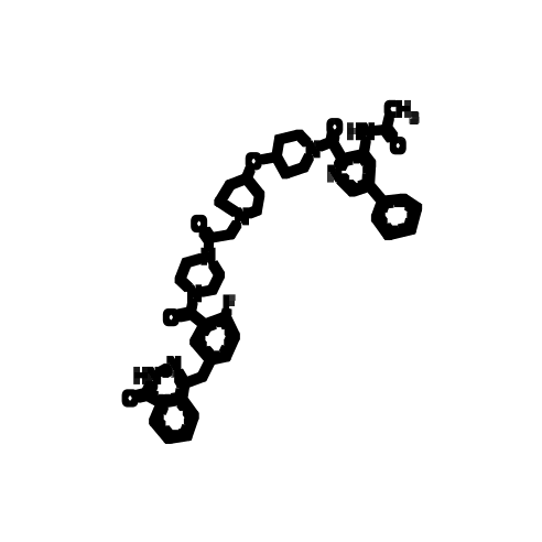 CC(=O)Nc1cc(-c2ccccc2)cnc1C(=O)N1CCC(OC2CCN(CC(=O)N3CCN(C(=O)c4cc(Cc5n[nH]c(=O)c6ccccc56)ccc4F)CC3)CC2)CC1